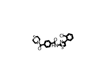 O=C(Nc1nc(-c2ccccc2Cl)cs1)c1ccc(C(=O)N2CCSCC2)cc1